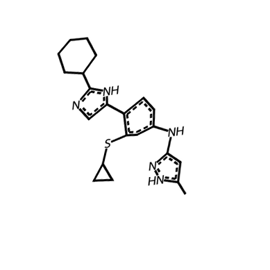 Cc1cc(Nc2ccc(-c3cnc(C4CCCCC4)[nH]3)c(SC3CC3)c2)n[nH]1